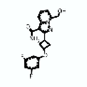 NC(=O)c1c(C2CC(Oc3cc(F)cc(F)c3)C2)nn2c(CO)cccc12